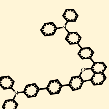 c1ccc(N(c2ccccc2)c2ccc(-c3ccc(-c4ccc5c(c4)Oc4c(-c6ccc(-c7ccc(N(c8ccccc8)c8ccccc8)cc7)cc6)ccc6cccc-5c46)cc3)cc2)cc1